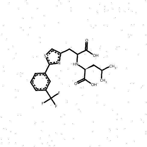 CC(C)C[C@H](NC(Cc1csc(-c2cccc(C(F)(F)F)c2)n1)C(=O)O)C(=O)O